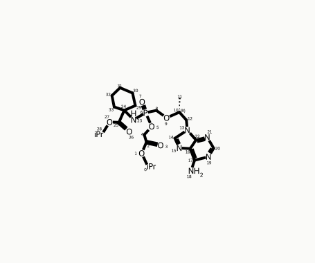 CC(C)OC(=O)COP(=O)(CO[C@H](C)Cn1cnc2c(N)ncnc21)NC1(C(=O)OC(C)C)CCCCC1